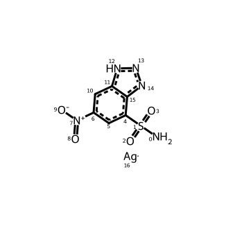 NS(=O)(=O)c1cc([N+](=O)[O-])cc2[nH]nnc12.[Ag]